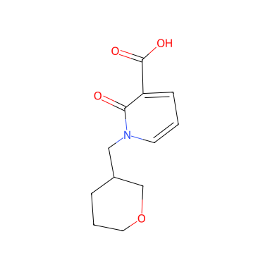 O=C(O)c1cccn(CC2CCCOC2)c1=O